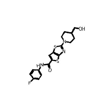 O=C(Nc1ccc(F)cc1)c1cc2sc(N3CCC(CO)CC3)nc2s1